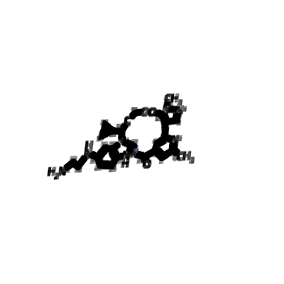 Cc1cc2cc(n1)-c1cnn(C)c1OCCCC(C1CC1)N1/C(=N/C2=O)Nc2ccc(NCCN)cc21